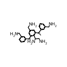 C[C@H](c1cccc(CN)c1)c1cc(CN)cc([C@H](C)c2cccc(CN)c2)c1C(N)CN